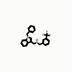 FC(F)(F)c1cccc(CNCc2cn(Cc3ccccc3)c3ccccc23)c1